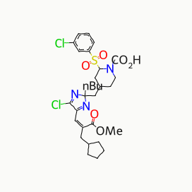 CCCCC1(CC2CCN(C(=O)O)C(S(=O)(=O)c3cccc(Cl)c3)C2)N=C(Cl)C(C=C(CC2CCCC2)C(=O)OC)=N1